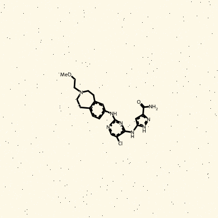 COCCN1CCc2ccc(Nc3ncc(Cl)c(Nc4cc(C(N)=O)n[nH]4)n3)cc2CC1